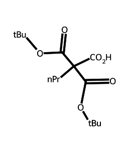 CCCC(C(=O)O)(C(=O)OC(C)(C)C)C(=O)OC(C)(C)C